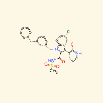 CS(=O)(=O)NC(=O)c1c(-c2ccc[nH]c2=O)c2cc(Cl)ccc2n1Cc1cccc(Cc2ccccc2)c1